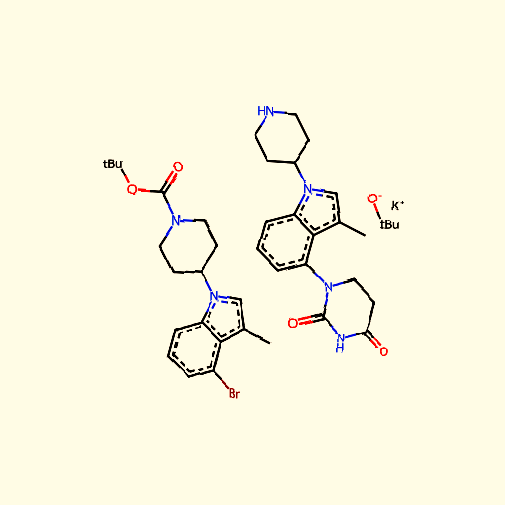 CC(C)(C)[O-].Cc1cn(C2CCN(C(=O)OC(C)(C)C)CC2)c2cccc(Br)c12.Cc1cn(C2CCNCC2)c2cccc(N3CCC(=O)NC3=O)c12.[K+]